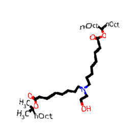 CCCCCCCCC(CCCCCCCC)OC(=O)CCCCCCCN(CCO)CCCCCCCC(=O)OC(C)(C)CCCCCCCC